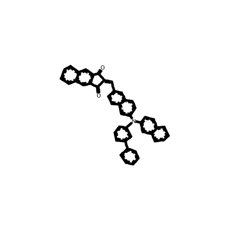 O=C1C(=Cc2ccc3cc(N(c4cccc(-c5ccccc5)c4)c4ccc5ccccc5c4)ccc3c2)C(=O)c2cc3ccccc3cc21